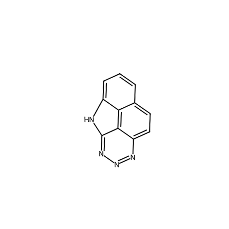 c1cc2ccc3nnnc4[nH]c(c1)c2c34